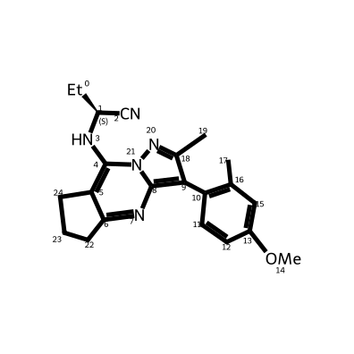 CC[C@@H](C#N)Nc1c2c(nc3c(-c4ccc(OC)cc4C)c(C)nn13)CCC2